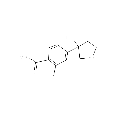 COC(=O)c1ccc(C2(C)CCOC2)cc1Br